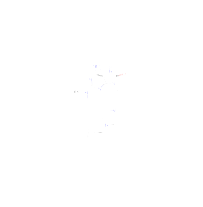 CCCCNc1nc(N)c2[nH]c(=O)n(CCCN3CCN(CC4CC4)CC3)c2n1